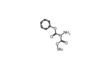 CC(C)(C)OC(=O)N(N)C(=O)Oc1ccccc1